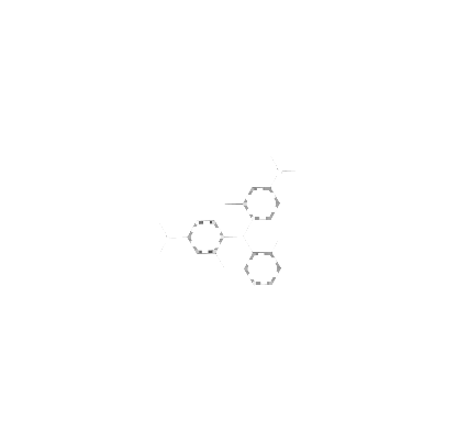 Cc1cc(N(C)C)ccc1C(c1ccc(N(C)C)cc1C)c1ccccc1F